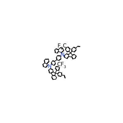 C=Cc1ccc(C2(c3ccc(C(F)(F)F)cc3)C3=C(C=CCC3)c3ccc(N(c4ccc(-c5ccc(N(c6ccc7c(c6)C(c6ccc(C=C)cc6)(c6ccc(C(F)(F)F)cc6)c6ccccc6-7)c6cccc7ccccc67)cc5)cc4)c4cccc5ccccc45)cc32)cc1